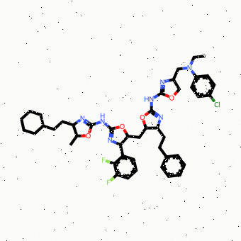 CCN(CC1COC(NC2=NC(CCc3ccccc3)C(CC3OC(NC4=NC(CCC5CCCCC5)C(C)O4)=NC3c3cccc(F)c3F)O2)=N1)c1ccc(Cl)cc1